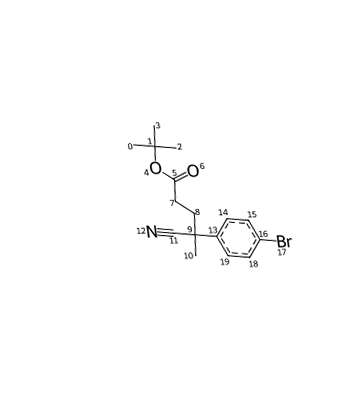 CC(C)(C)OC(=O)CCC(C)(C#N)c1ccc(Br)cc1